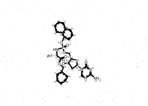 CC(C)[C@H](NP(=O)(OC[C@H]1S[C@@H](n2cnc(N)nc2=O)C[C@H]1O)Oc1cccc2ccccc12)C(=O)OCc1ccccc1